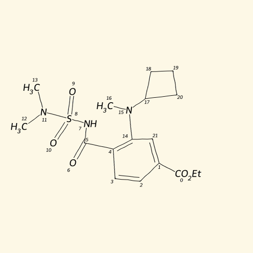 CCOC(=O)c1ccc(C(=O)NS(=O)(=O)N(C)C)c(N(C)C2CCC2)c1